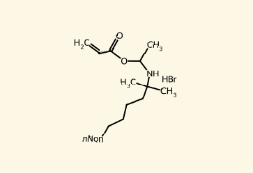 Br.C=CC(=O)OC(C)NC(C)(C)CCCCCCCCCCCCC